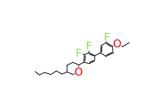 CCCCCCC1CCC(c2ccc(-c3ccc(OCC)c(F)c3)c(F)c2F)OC1